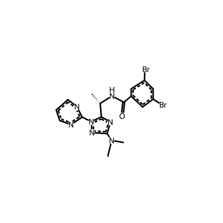 C[C@H](NC(=O)c1cc(Br)cc(Br)c1)c1nc(N(C)C)nn1-c1ncccn1